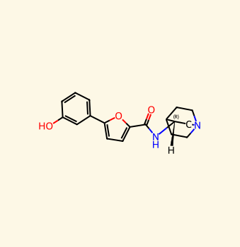 O=C(N[C@H]1CN2CCC1CC2)c1ccc(-c2cccc(O)c2)o1